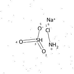 NCl.O=[SH](=O)[O-].[Na+]